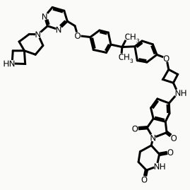 CC(C)(c1ccc(OCc2ccnc(N3CCC4(CC3)CNC4)n2)cc1)c1ccc(OC2CC(Nc3ccc4c(c3)C(=O)N(C3CCC(=O)NC3=O)C4=O)C2)cc1